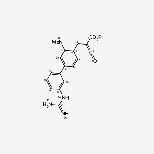 CCOC(=O)C(=C=O)Cc1ccc(-c2cccc(NC(=N)N)c2)cc1NC